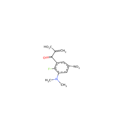 C=C(C(=O)O)C(=O)c1cc([N+](=O)[O-])cc(N(C)C)c1F